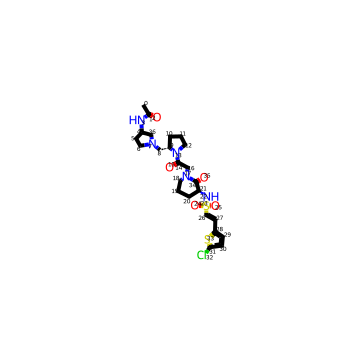 CC(=O)NC1CCN(C[C@@H]2CCCN2C(=O)CN2CCC[C@H](NS(=O)(=O)/C=C/c3ccc(Cl)s3)C2=O)C1